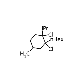 CCCCCCC1(Cl)CC(C)CCC1(Cl)C(C)C